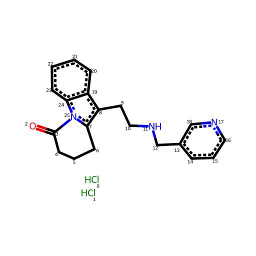 Cl.Cl.O=C1CCCc2c(CCNCc3cccnc3)c3ccccc3n21